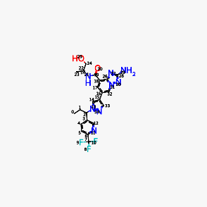 CCC(c1ccc(C(F)(F)F)nc1)n1cc(-c2cc(C(=O)N[C@@H](C)CO)c3nc(N)nn3c2)cn1